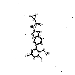 O=C(Nc1cn2cc(-c3cc(Cl)cc(F)c3CO)ccc2n1)C1CC1